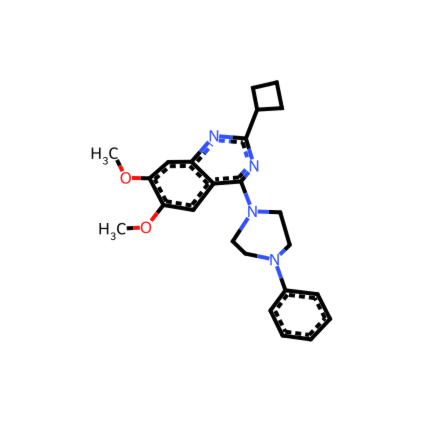 COc1cc2nc(C3CCC3)nc(N3CCN(c4ccccc4)CC3)c2cc1OC